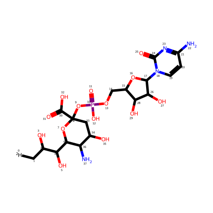 [2H]CC(O)C(O)C1OC(OP(=O)(O)OCC2OC(n3ccc(N)nc3=O)C(O)C2O)(C(=O)O)CC(O)C1N